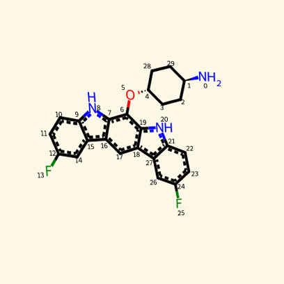 N[C@H]1CC[C@H](Oc2c3[nH]c4ccc(F)cc4c3cc3c2[nH]c2ccc(F)cc23)CC1